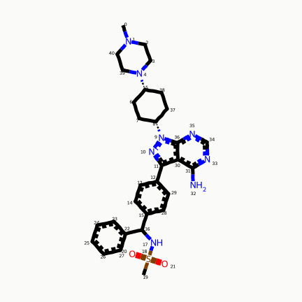 CN1CCN([C@H]2CC[C@@H](n3nc(-c4ccc(C(NS(C)(=O)=O)c5ccccc5)cc4)c4c(N)ncnc43)CC2)CC1